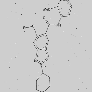 COc1ncccc1NC(=O)c1cc2cn(C3CCOCC3)nc2cc1OC(C)C